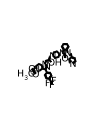 CS(=O)(=O)N1CCc2c(c(-c3ccc(C(F)(F)F)cc3)nn2CC(O)CN2CCC(n3c(=O)n(Cc4ccncc4)c4ccccc43)CC2)C1